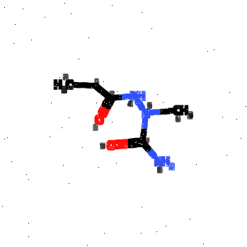 CCC(=O)NN(C)C(N)=O